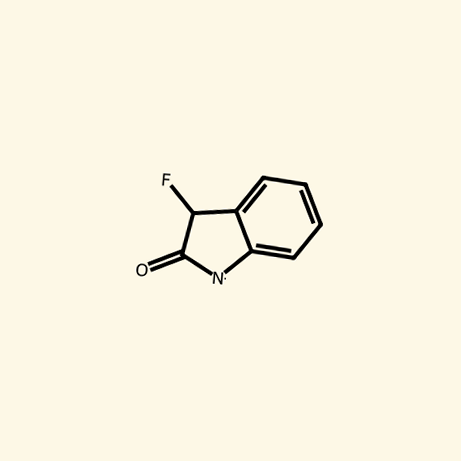 O=C1[N]c2ccccc2C1F